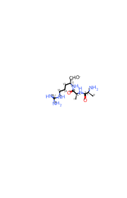 C[C@H](N)C(=O)N[C@@H](C)C(=O)N[C@H]([C]=O)CCCNC(=N)N